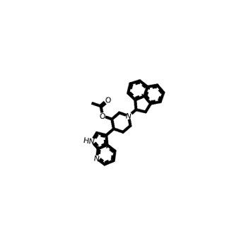 CC(=O)OC1CN(C2Cc3cccc4cccc2c34)CCC1c1c[nH]c2ncccc12